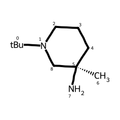 CC(C)(C)N1CCC[C@@](C)(N)C1